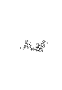 COc1ccc(CCNc2ncc3[nH]c(=O)n(CC(C)I)c(=O)c3n2)cc1OC